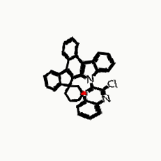 Clc1nc2ccccc2nc1-n1c2ccccc2c2c3ccccc3c3c(c21)C1(CCCCC1)c1ccccc1-3